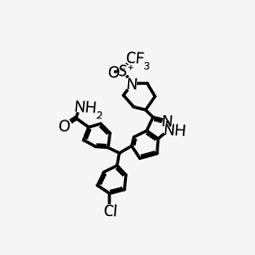 NC(=O)c1ccc(C(c2ccc(Cl)cc2)c2ccc3[nH]nc(C4CCN([S+]([O-])C(F)(F)F)CC4)c3c2)cc1